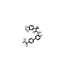 CNC(=O)c1ccc(-c2ccc(C)c(NC(=O)C3(c4ccc5c(c4)OCO5)CC3)c2)cc1